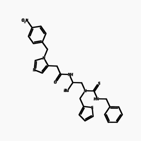 CCC(C)C(CN(Cc1cccs1)C(=S)NCc1ccccc1)NC(=O)Cc1cncn1Cc1ccc([N+](=O)[O-])cc1